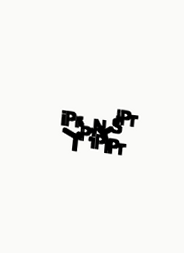 CC(C)=P(N=C(SC(C)C)C(C)C)(C(C)C)C(C)C